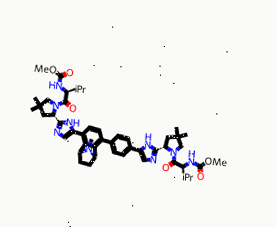 COC(=O)N[C@H](C(=O)N1CC(C)(C)C[C@H]1c1ncc(-c2ccc(-c3ccc(-c4cnc([C@@H]5CC(C)(C)CN5C(=O)[C@@H](NC(=O)OC)C(C)C)[nH]4)c4c3C3CCC4N3C)cc2)[nH]1)C(C)C